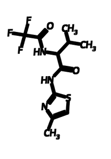 Cc1csc(NC(=O)C(NC(=O)C(F)(F)F)C(C)C)n1